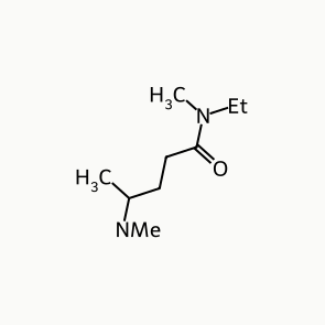 CCN(C)C(=O)CCC(C)NC